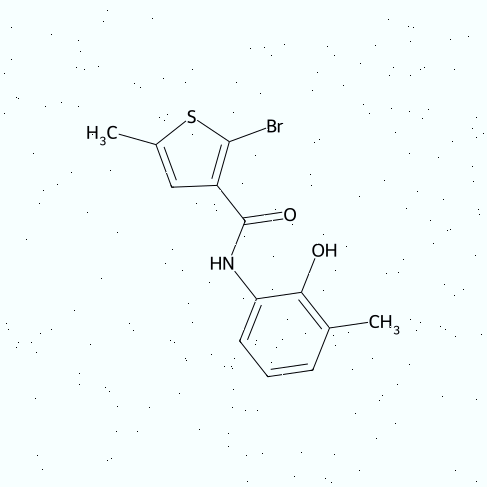 Cc1cc(C(=O)Nc2cccc(C)c2O)c(Br)s1